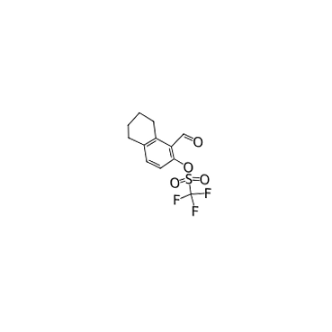 O=Cc1c(OS(=O)(=O)C(F)(F)F)ccc2c1CCCC2